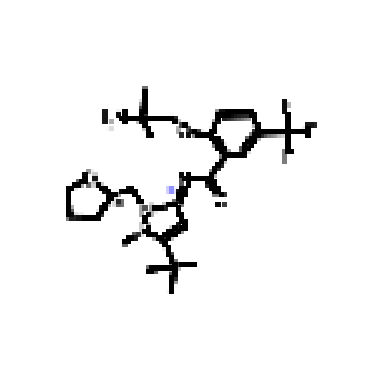 Cn1c(C(C)(C)C)c/c(=N\C(=O)c2cc(C(F)(F)F)ccc2OCC(C)(C)N)n1C[C@H]1CCCO1